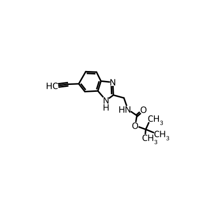 C#Cc1ccc2nc(CNC(=O)OC(C)(C)C)[nH]c2c1